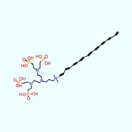 C#CC#CC#CC#CC#CC#CC#CC#CC#C[N+](C)(C)CCCN(CCN(CCP(=O)(O)O)CCP(=O)(O)O)CCN(CCP(=O)(O)O)CCP(=O)(O)O